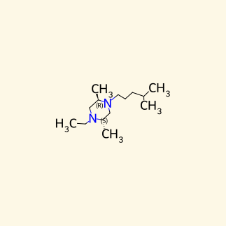 CCN1C[C@@H](C)N(CCCC(C)C)C[C@@H]1C